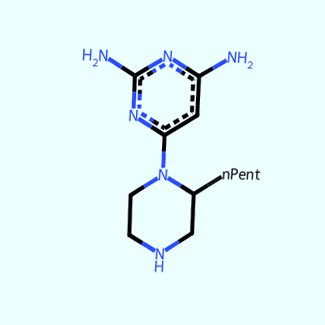 CCCCCC1CNCCN1c1cc(N)nc(N)n1